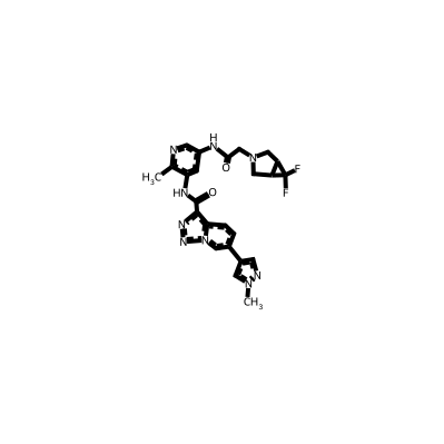 Cc1ncc(NC(=O)CN2CC3C(C2)C3(F)F)cc1NC(=O)c1nnn2cc(-c3cnn(C)c3)ccc12